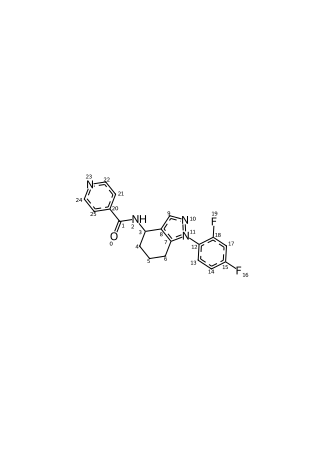 O=C(NC1CCCc2c1cnn2-c1ccc(F)cc1F)c1ccncc1